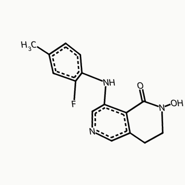 Cc1ccc(Nc2cncc3c2C(=O)N(O)CC3)c(F)c1